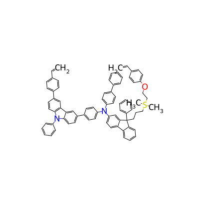 C=Cc1ccc(OCCS(C)(C)CCCC2(c3ccccc3)c3ccccc3-c3ccc(N(c4ccc(-c5ccccc5)cc4)c4ccc(-c5ccc6c(c5)c5cc(-c7ccc(C=C)cc7)ccc5n6-c5ccccc5)cc4)cc32)cc1